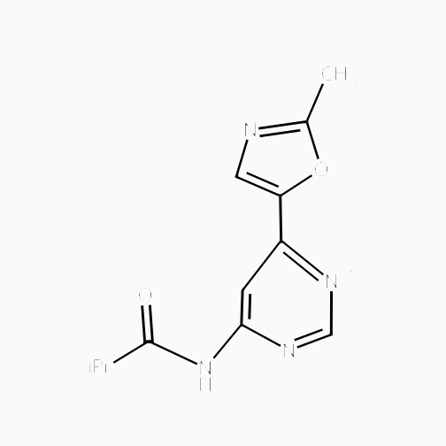 Cc1ncc(-c2cc(NC(=O)C(C)C)ncn2)o1